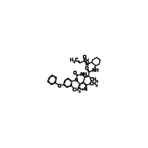 C=CC(=O)N[C@H]1CCCC[C@H]1NC(=O)/C(C)=C1\NC(=O)N(c2ccc(Oc3ccccc3)cc2C)c2ccnc(C)c21